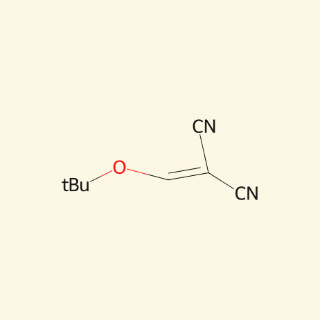 CC(C)(C)OC=C(C#N)C#N